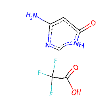 Nc1cc(=O)[nH]cn1.O=C(O)C(F)(F)F